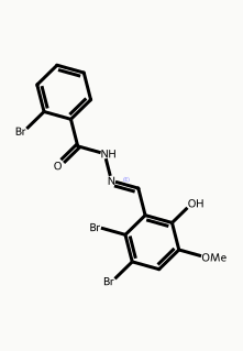 COc1cc(Br)c(Br)c(/C=N/NC(=O)c2ccccc2Br)c1O